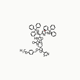 COc1ccc(COC(=O)C2(C=Cc3cncs3)CS[C@@H]3C(NC(=O)C(=NOC(c4ccccc4)(c4ccccc4)c4ccccc4)c4csc(NC(c5ccccc5)(c5ccccc5)c5ccccc5)n4)C(=O)N3C2)cc1